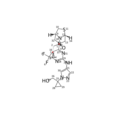 O=C(C[C@@H]1CC1(F)F)N1[C@H]2CS[C@@H]1CN(c1ccnc(Nc3cnn(C4(CO)CC4)c3)n1)C2